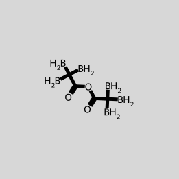 BC(B)(B)C(=O)OC(=O)C(B)(B)B